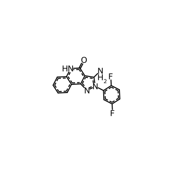 Nc1c2c(=O)[nH]c3ccccc3c2nn1-c1cc(F)ccc1F